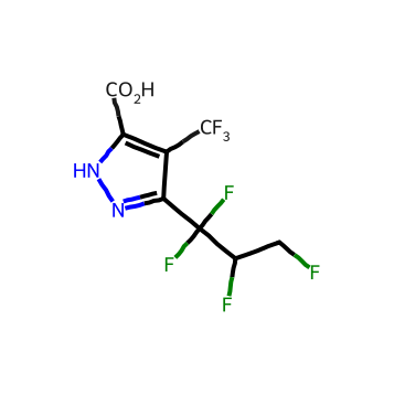 O=C(O)c1[nH]nc(C(F)(F)C(F)CF)c1C(F)(F)F